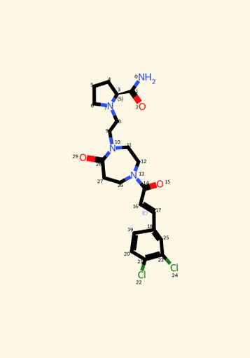 NC(=O)[C@@H]1CCCN1CCN1CCN(C(=O)/C=C/c2ccc(Cl)c(Cl)c2)CCC1=O